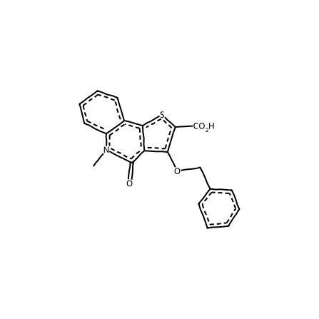 Cn1c(=O)c2c(OCc3ccccc3)c(C(=O)O)sc2c2ccccc21